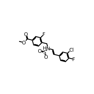 COC(=O)c1ccc(CN(C=Cc2ccc(F)c(Cl)c2)[SH](=O)=O)c(F)c1